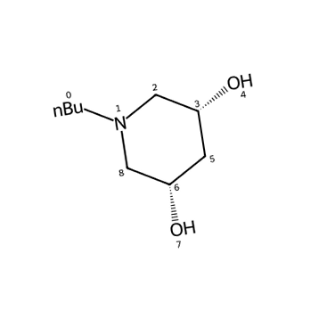 CCCCN1C[C@H](O)C[C@H](O)C1